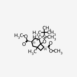 COC(=O)[C@H]1CCC2(O[Si](C)(C)C(C)(C)C)[C@H](C(=O)OC)CC2(C)C1